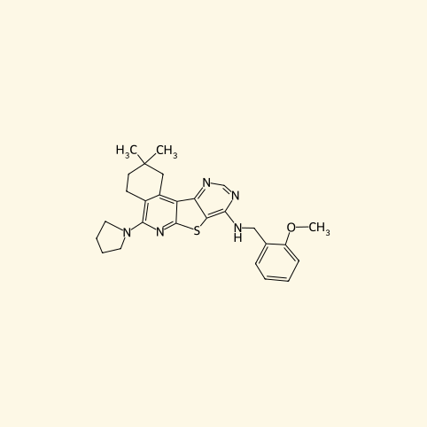 COc1ccccc1CNc1ncnc2c1sc1nc(N3CCCC3)c3c(c12)CC(C)(C)CC3